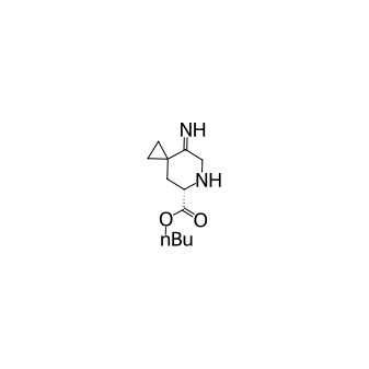 CCCCOC(=O)[C@@H]1CC2(CC2)C(=N)CN1